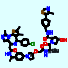 Cc1ncsc1-c1ccc(CNC(=O)[C@@H]2C[C@@H](O)CN2C(=O)[C@@H](NC(=O)CO[C@@H]2CCN(c3ccc([C@@H](C)NC(=O)C[C@@H]4N=C(c5ccc(Cl)cc5)c5c(sc(C)c5C)-n5c4cnc5C)cc3)C2)C(C)(C)C)cc1